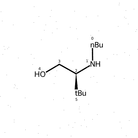 CCCCN[C@H](CO)C(C)(C)C